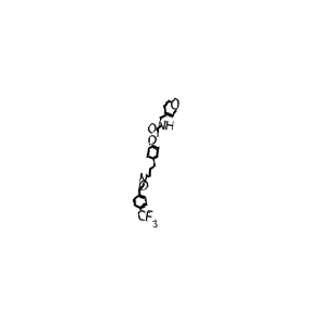 O=C(COc1ccc(CCC=NOCc2ccc(C(F)(F)F)cc2)cc1)NCC1=CCOCC1